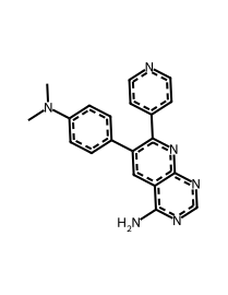 CN(C)c1ccc(-c2cc3c(N)ncnc3nc2-c2ccncc2)cc1